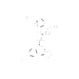 Cc1ccc(C2=NN(C(=O)NC(C)c3ccc(C(F)(F)F)nc3)C[C@@H]2N2CCOC2=O)cc1